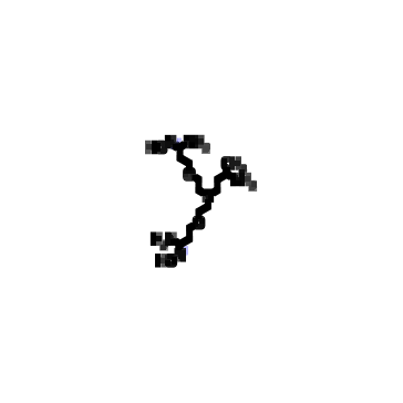 C=C(N)CCN(CCOCC/C(N)=N/O)CCOCC/C(N)=N\O